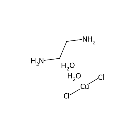 NCCN.O.O.[Cl][Cu][Cl]